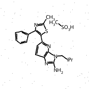 CS(=O)(=O)O.Cc1nc(-c2ccccc2)c(-c2ccc3nc(N)n(CC(C)C)c3n2)s1